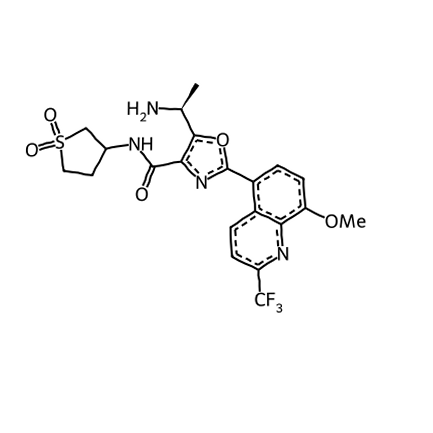 COc1ccc(-c2nc(C(=O)NC3CCS(=O)(=O)C3)c([C@H](C)N)o2)c2ccc(C(F)(F)F)nc12